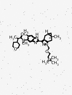 Cc1cc2[nH]c(-c3nn(COCC[Si](C)(C)C)c4c3C[C@@H]3C[C@]3(C)C4)nc2cc1N(C)C(=O)C(C)C1CCOCC1